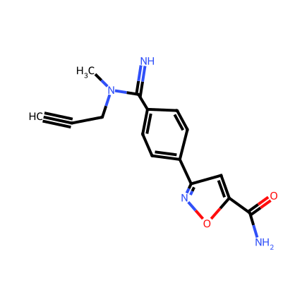 C#CCN(C)C(=N)c1ccc(-c2cc(C(N)=O)on2)cc1